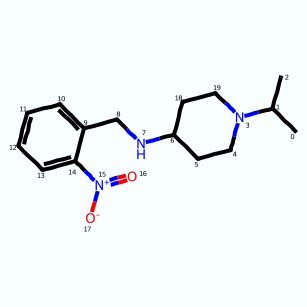 CC(C)N1CCC(NCc2ccccc2[N+](=O)[O-])CC1